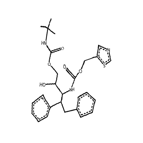 CC(C)(C)NC(=O)OCC(O)C(NC(=O)OCc1cncs1)C(Cc1ccccc1)c1ccccc1